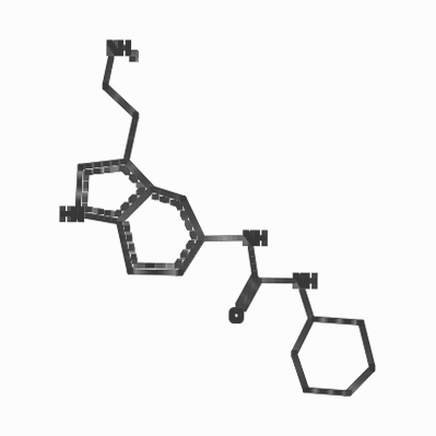 NCCc1c[nH]c2ccc(NC(=O)NC3CCCCC3)cc12